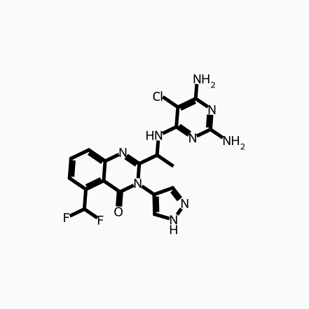 CC(Nc1nc(N)nc(N)c1Cl)c1nc2cccc(C(F)F)c2c(=O)n1-c1cn[nH]c1